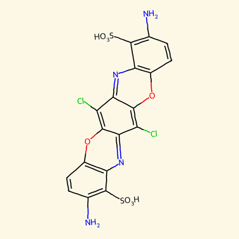 Nc1ccc2c(c1S(=O)(=O)O)N=c1c(Cl)c3c(c(Cl)c1O2)=Nc1c(ccc(N)c1S(=O)(=O)O)O3